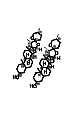 C[C@@H]1CC[C@@]2(OC1)O[C@H]1C[C@H]3[C@@H]4CCC5C[C@@H](O)CC[C@]5(C)[C@H]4CC[C@]3(C)[C@H]1[C@@H]2C.C[C@@H]1CC[C@@]2(OC1)O[C@H]1C[C@H]3[C@@H]4CCC5C[C@@H](O)CC[C@]5(C)[C@H]4CC[C@]3(C)[C@H]1[C@@H]2C